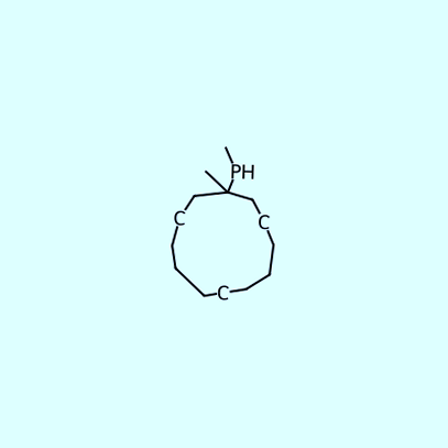 CPC1(C)CCCCCCCCCCC1